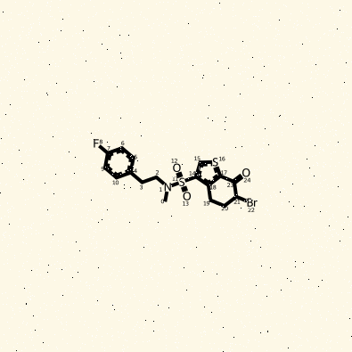 CN(CCc1ccc(F)cc1)S(=O)(=O)c1csc2c1CCC(Br)C2=O